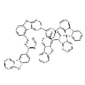 c1cc(-c2ccc3oc4cccc(-c5nc(-c6ccc7oc8ccccc8c7c6)nc(-c6cccc7oc8ccccc8c67)n5)c4c3c2)cc(-c2cccc3c2C2(c4ccccc4-c4ccccc42)c2ccccc2-3)c1